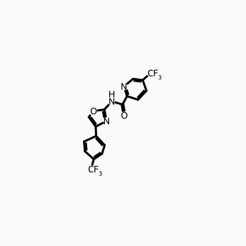 O=C(Nc1nc(-c2ccc(C(F)(F)F)cc2)co1)c1ccc(C(F)(F)F)cn1